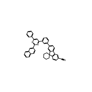 N#Cc1ccc2c(c1)-c1ccc(-c3cccc(-c4cc(-c5ccccc5)nc(-c5ccc6ccccc6c5)n4)c3)cc1C21CCCCC1